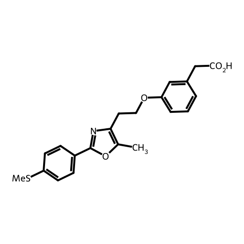 CSc1ccc(-c2nc(CCOc3cccc(CC(=O)O)c3)c(C)o2)cc1